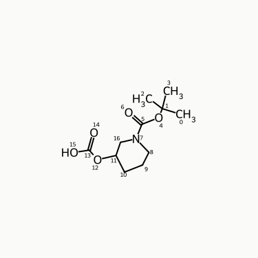 CC(C)(C)OC(=O)N1CCCC(OC(=O)O)C1